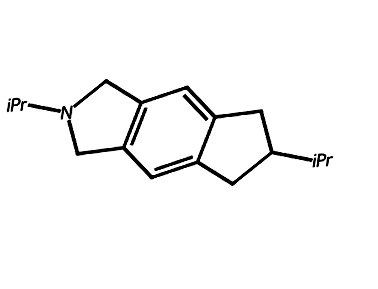 CC(C)C1Cc2cc3c(cc2C1)CN(C(C)C)C3